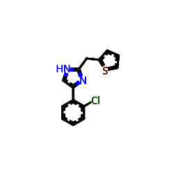 Clc1ccccc1-c1c[nH]c(Cc2cccs2)n1